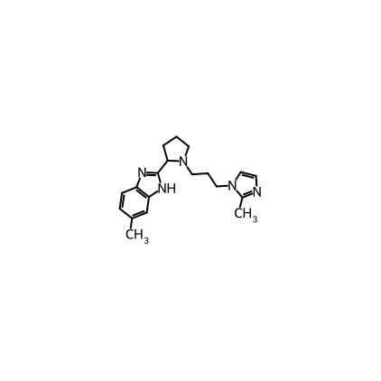 Cc1ccc2nc(C3CCCN3CCCn3ccnc3C)[nH]c2c1